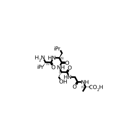 CC(C)C[C@H](NC(=O)[C@@H](N)C(C)C)C(=O)N[C@@H](CO)C(=O)NCC(=O)N[C@@H](C)C(=O)O